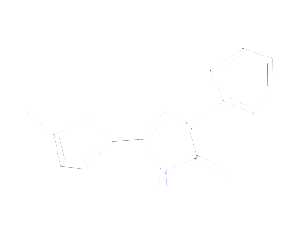 Cc1ccc(-c2cn(-c3ccccc3)c(=S)[nH]2)o1